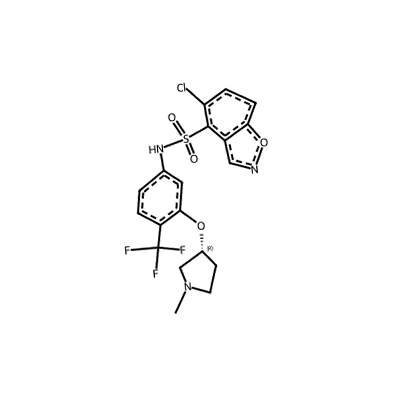 CN1CC[C@@H](Oc2cc(NS(=O)(=O)c3c(Cl)ccc4oncc34)ccc2C(F)(F)F)C1